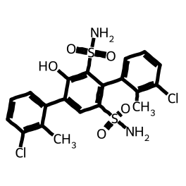 Cc1c(Cl)cccc1-c1cc(S(N)(=O)=O)c(-c2cccc(Cl)c2C)c(S(N)(=O)=O)c1O